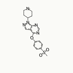 CS(=O)(=O)c1ccc(Oc2ncnc3c2cnn3C2CC[N]CC2)cc1